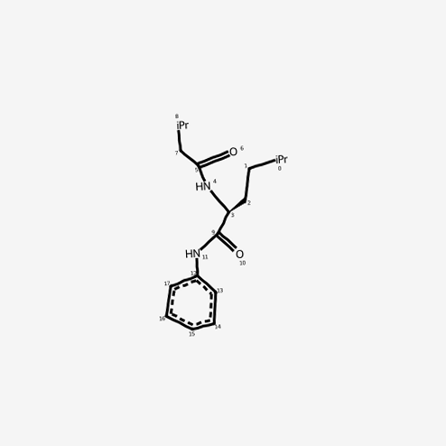 CC(C)CC[C@H](NC(=O)CC(C)C)C(=O)Nc1ccccc1